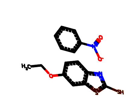 CCOc1ccc2nc(S)sc2c1.O=[N+]([O-])c1ccccc1